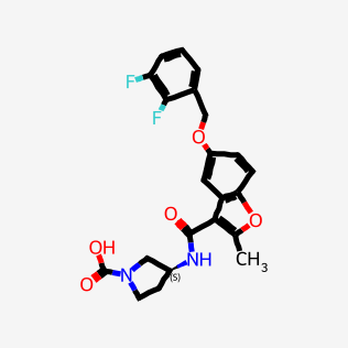 Cc1oc2ccc(OCc3cccc(F)c3F)cc2c1C(=O)N[C@H]1CCN(C(=O)O)C1